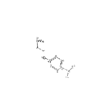 [CH2]C(F)c1ccc(OCCOC)cc1